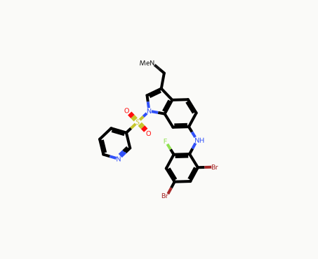 CNCc1cn(S(=O)(=O)c2cccnc2)c2cc(Nc3c(F)cc(Br)cc3Br)ccc12